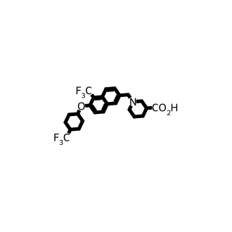 O=C(O)C1CCCN(Cc2ccc3c(C(F)(F)F)c(OC4CCC(C(F)(F)F)CC4)ccc3c2)C1